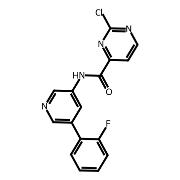 O=C(Nc1cncc(-c2ccccc2F)c1)c1ccnc(Cl)n1